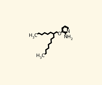 CCCCCCCCC(CCCCCC)COc1cccnc1N